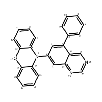 c1ccc(-c2cc(N3c4ccccc4Oc4ccccc43)cc3ncncc23)cc1